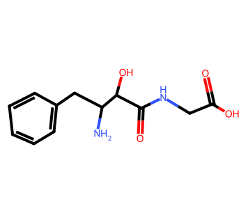 NC(Cc1ccccc1)C(O)C(=O)NCC(=O)O